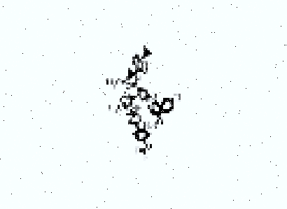 C=C[C@@H]1C[C@]1(NC(=O)[C@@H]1C[C@@H](Oc2ncc(OC)c3ccc(Cl)cc23)CN1C(=O)[C@@H](Nc1nc(-c2ccc(OC(F)F)cc2)cs1)C(C)(C)C)C(=O)NS(=O)(=O)C1CC1